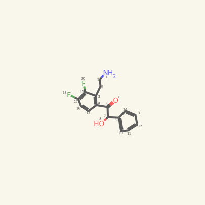 NCCc1c(C(=O)C(O)c2ccccc2)ccc(F)c1F